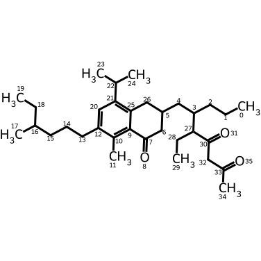 CCCC(CC1CC(=O)c2c(C)c(CCCC(C)CC)cc(C(C)C)c2C1)C(CC)C(=O)CC(C)=O